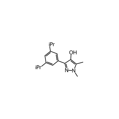 Cc1c(O)c(-c2cc(C(C)C)cc(C(C)C)c2)nn1C